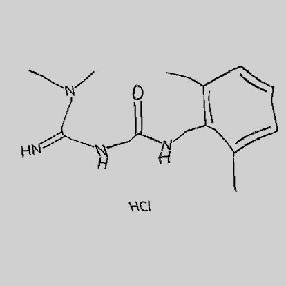 Cc1cccc(C)c1NC(=O)NC(=N)N(C)C.Cl